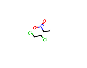 CC[N+](=O)[O-].ClCCCl